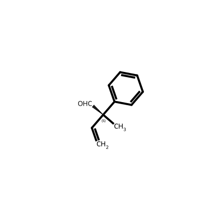 C=C[C@](C)(C=O)c1ccccc1